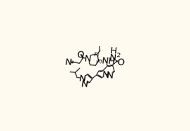 CC[C@@H]1CN(C(=O)CC#N)CC[C@H]1Nc1c(C(N)=O)cnn2cc(-c3cnn(CC(C)C)c3)cc12